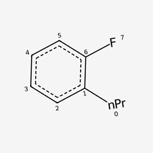 [CH]CCc1ccccc1F